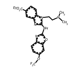 CCOC(=O)c1ccc2c(c1)nc(Nc1nc3ccc(OC(F)(F)F)cc3o1)n2CCN(C)C